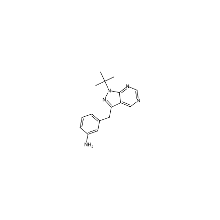 CC(C)(C)n1nc(Cc2cccc(N)c2)c2cncnc21